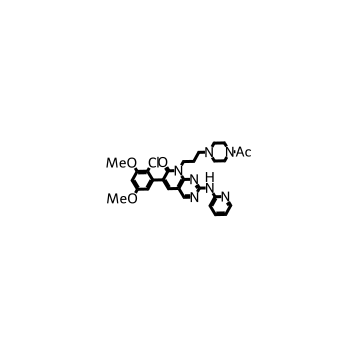 COc1cc(OC)c(Cl)c(-c2cc3cnc(Nc4ccccn4)nc3n(CCCN3CCN(C(C)=O)CC3)c2=O)c1